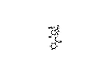 CCCCCC[C@@]12CC[C@H](O)[C@@H](/C=C/[C@@H](O)C3CCCCC3)[C@@H]1CC2=O